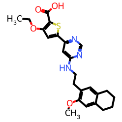 CCOc1cc(-c2cc(NCCc3cc4c(cc3OC)CCCC4)ncn2)sc1C(=O)O